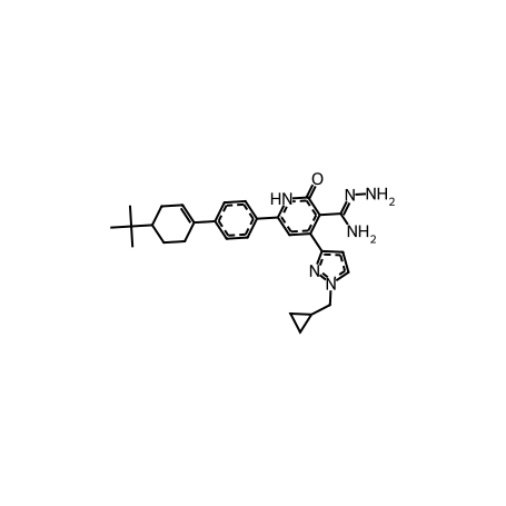 CC(C)(C)C1CC=C(c2ccc(-c3cc(-c4ccn(CC5CC5)n4)c(/C(N)=N/N)c(=O)[nH]3)cc2)CC1